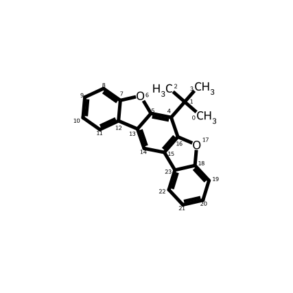 CC(C)(C)c1c2oc3ccccc3c2cc2c1oc1ccccc12